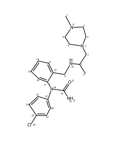 CC(CN1CCN(C)CC1)NCc1ccccc1N(C(N)=O)c1ccc(Cl)cc1